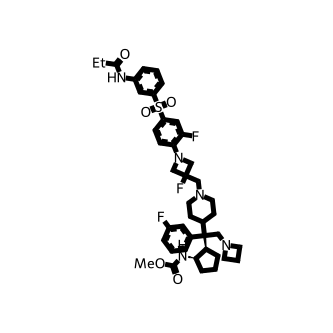 CCC(=O)Nc1cccc(S(=O)(=O)c2ccc(N3CC(F)(CN4CCC(C(CN5CCC5)(c5cccc(F)c5)[C@H]5CCC[C@@H]5NC(=O)OC)CC4)C3)c(F)c2)c1